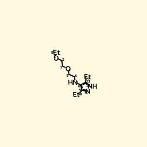 CCOCCOCCNc1c(CC)n[nH]c1CC